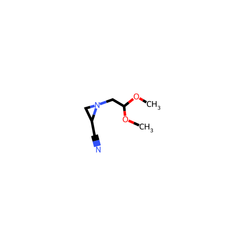 COC(CN1CC1C#N)OC